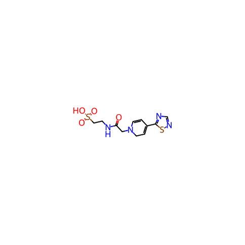 O=C(CN1C=CC(c2ncns2)=CC1)NCCS(=O)(=O)O